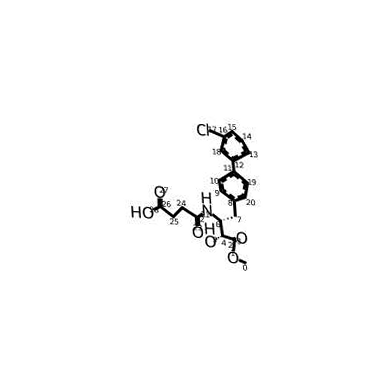 COC(=O)[C@H](O)[C@@H](Cc1ccc(-c2cccc(Cl)c2)cc1)NC(=O)CCC(=O)O